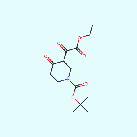 CCOC(=O)C(=O)[C@H]1CN(C(=O)OC(C)(C)C)CCC1=O